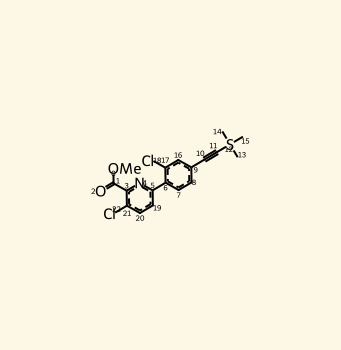 COC(=O)c1nc(-c2ccc(C#CS(C)(C)C)cc2Cl)ccc1Cl